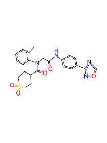 Cc1ccccc1N(CC(=O)Nc1ccc(-c2ncon2)cc1)C(=O)C1CCS(=O)(=O)CC1